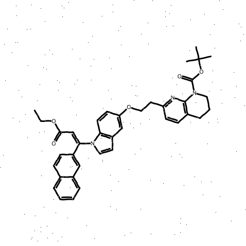 CCOC(=O)/C=C(\c1ccc2ccccc2c1)n1ccc2cc(OCCc3ccc4c(n3)N(C(=O)OC(C)(C)C)CCC4)ccc21